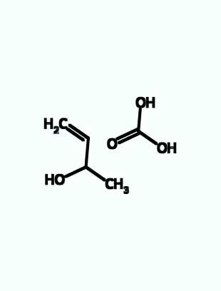 C=CC(C)O.O=C(O)O